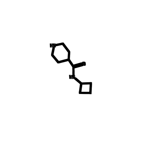 O=C(NC1CCC1)C1CCNCC1